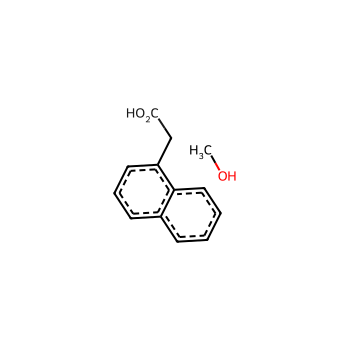 CO.O=C(O)Cc1cccc2ccccc12